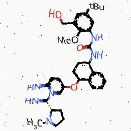 COc1c(CO)cc(C(C)(C)C)cc1NC(=O)NC1CCC(Oc2ccc(=N)n(C(=N)[C@@H]3CCCN3C)c2)c2ccccc21